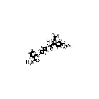 CC(=O)N(C)Cc1ccc2c(C(=O)NC3CC4(C3)CC(Oc3ncccc3C(N)=O)C4)nc(C(F)F)n2c1